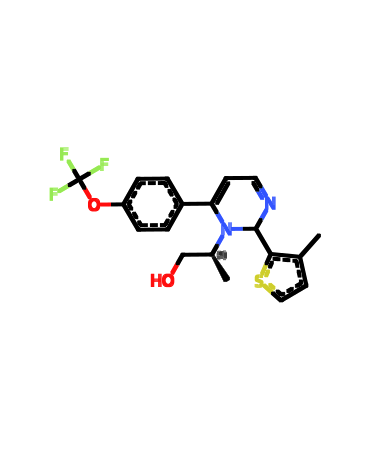 Cc1ccsc1C1N=CC=C(c2ccc(OC(F)(F)F)cc2)N1[C@@H](C)CO